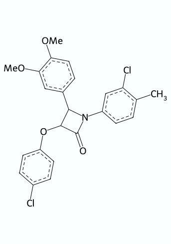 COc1ccc(C2C(Oc3ccc(Cl)cc3)C(=O)N2c2ccc(C)c(Cl)c2)cc1OC